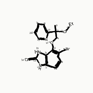 CCOC(C)(COc1c(Br)ccc2[nH]c(=O)[nH]c12)c1ccccn1